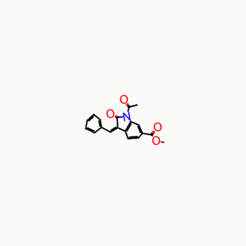 COC(=O)c1ccc2c(c1)N(C(C)=O)C(=O)/C2=C\c1ccccc1